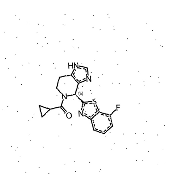 O=C(C1CC1)N1CCc2[nH]cnc2[C@H]1c1nc2cccc(F)c2s1